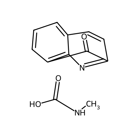 CNC(=O)O.O=C1c2ccc3cccc1c3n2